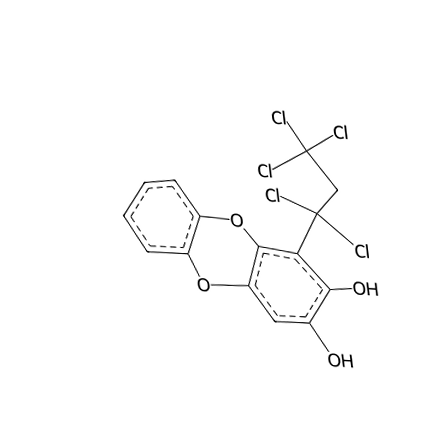 Oc1cc2c(c(C(Cl)(Cl)CC(Cl)(Cl)Cl)c1O)Oc1ccccc1O2